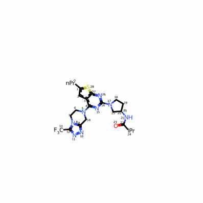 CCCc1cc2c(N3CCn4c(nnc4C(F)(F)F)C3)nc(N3CC[C@@H](NC(=O)C(C)C)C3)nc2s1